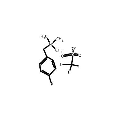 C[N+](C)(C)Cc1ccc(F)cc1.O=S(=O)([O-])C(F)(F)F